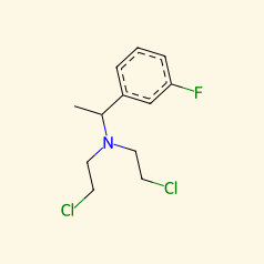 CC(c1cccc(F)c1)N(CCCl)CCCl